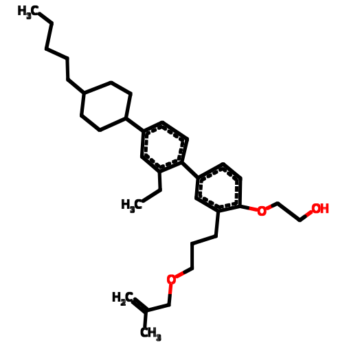 C=C(C)COCCCc1cc(-c2ccc(C3CCC(CCCCC)CC3)cc2CC)ccc1OCCO